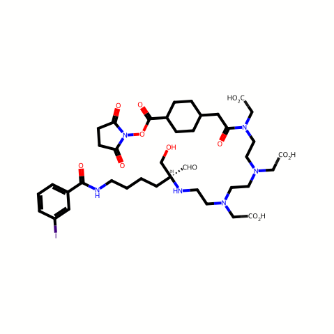 O=C[C@@](CO)(CCCCNC(=O)c1cccc(I)c1)NCCN(CCN(CCN(CC(=O)O)C(=O)CC1CCC(C(=O)ON2C(=O)CCC2=O)CC1)CC(=O)O)CC(=O)O